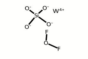 FOF.[O-][Si]([O-])([O-])[O-].[W+4]